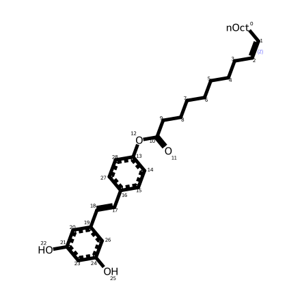 CCCCCCCC/C=C\CCCCCCCC(=O)Oc1ccc(C=Cc2cc(O)cc(O)c2)cc1